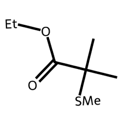 CCOC(=O)C(C)(C)SC